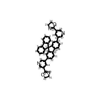 c1ccc2c(c1)-c1ccccc1C21c2cc(-c3cncc(C4=NCCO4)c3)ccc2-c2ccc(-c3cncc(C4=NCCO4)c3)cc21